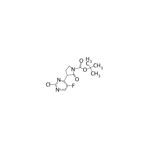 CC(C)(C)OC(=O)N1CCC(c2nc(Cl)ncc2F)C1=O